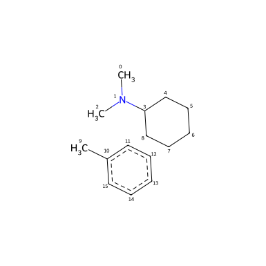 CN(C)C1CCCCC1.Cc1ccccc1